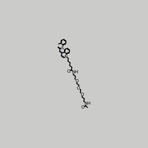 C=C(/C=C1/C=CN(CCCCCC(=O)NCCCOCCOCCOCCCNC(C)=O)c2ccccc21)Sc1ccccc1C